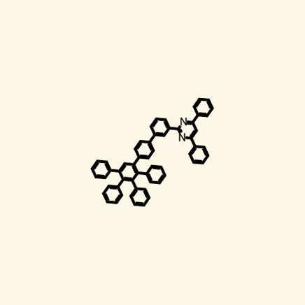 c1ccc(-c2cc(-c3ccccc3)nc(-c3cccc(-c4ccc(-c5cc(-c6ccccc6)c(-c6ccccc6)c(-c6ccccc6)c5-c5ccccc5)cc4)c3)n2)cc1